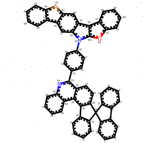 c1ccc2c(c1)-c1ccccc1C21c2ccccc2-c2c1ccc1c(-c3ccc(-n4c5cc6c(cc5c5c7ccccc7oc54)sc4ccccc46)cc3)nc3ccccc3c21